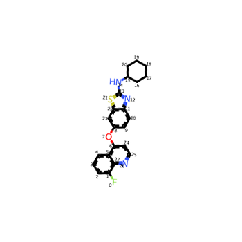 Fc1cccc2c(Oc3ccc4nc(NC5CCCCC5)sc4c3)ccnc12